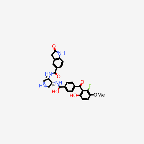 COc1ccc(O)c(C(=O)c2ccc(C(O)N[C@@H]3CNC[C@H]3NC(=O)c3ccc4c(c3)CC(=O)N4)cc2)c1F